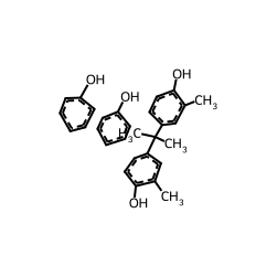 Cc1cc(C(C)(C)c2ccc(O)c(C)c2)ccc1O.Oc1ccccc1.Oc1ccccc1